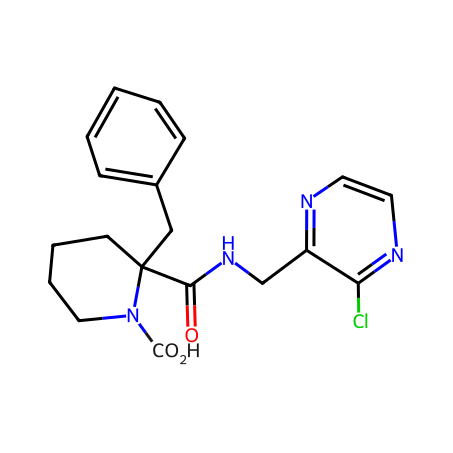 O=C(O)N1CCCCC1(Cc1ccccc1)C(=O)NCc1nccnc1Cl